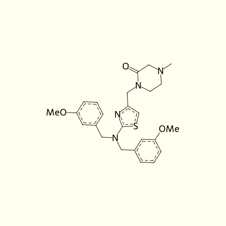 COc1cccc(CN(Cc2cccc(OC)c2)c2nc(CN3CCN(C)CC3=O)cs2)c1